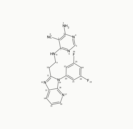 N#Cc1c(N)ncnc1NCCc1nc2cccnc2n1-c1cc(F)cc(F)c1